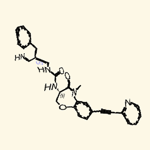 CN1C(=O)[C@@H](NC(=O)N/C=C(\C=N)Cc2ccccc2)COc2ccc(C#Cc3ccccn3)cc21